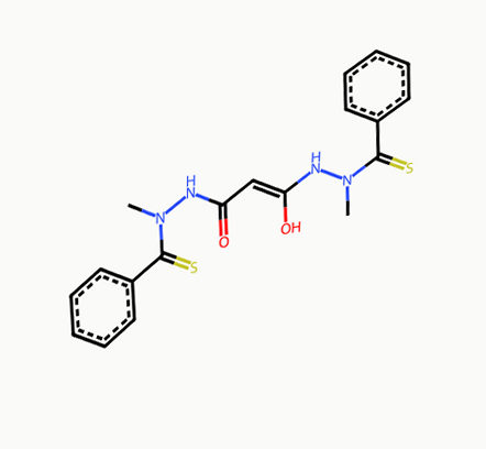 CN(NC(=O)/C=C(\O)NN(C)C(=S)c1ccccc1)C(=S)c1ccccc1